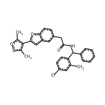 Cc1cc(Cl)ccc1C(NC(=O)Cc1ccc2oc(-c3c(C)noc3C)cc2c1)c1ccccc1